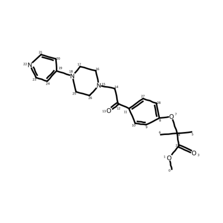 COC(=O)C(C)(C)Oc1ccc(C(=O)CN2CCN(c3ccncc3)CC2)cc1